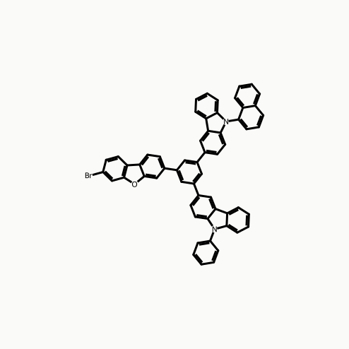 Brc1ccc2c(c1)oc1cc(-c3cc(-c4ccc5c(c4)c4ccccc4n5-c4ccccc4)cc(-c4ccc5c(c4)c4ccccc4n5-c4cccc5ccccc45)c3)ccc12